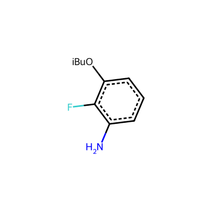 CC(C)COc1cccc(N)c1F